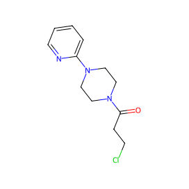 O=C(CCCl)N1CCN(c2ccccn2)CC1